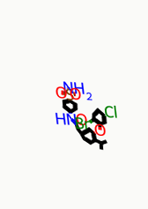 CC(C)c1ccc(CC(=O)Nc2ccc(S(N)(=O)=O)cc2)cc1Oc1cc(Cl)ccc1Br